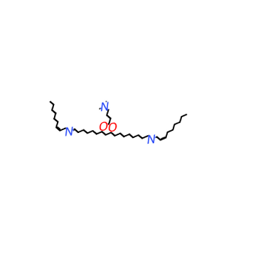 CCCCCC/C=C\C/N=C/CCCCCCCC(CCCCCCC/C=N/C/C=C\CCCCCC)OC(=O)CCCN(C)C